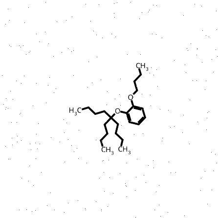 CCCCOc1ccccc1OC(CCCC)(CCCC)CCCC